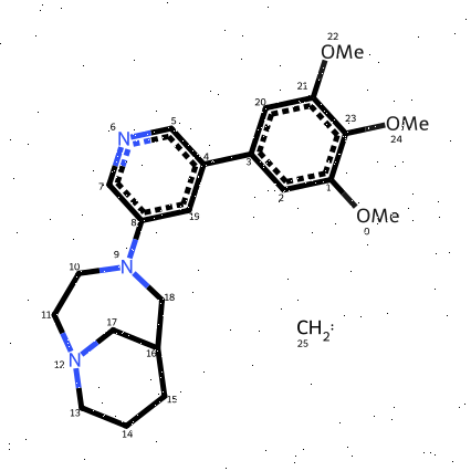 COc1cc(-c2cncc(N3CCN4CCCC(C4)C3)c2)cc(OC)c1OC.[CH2]